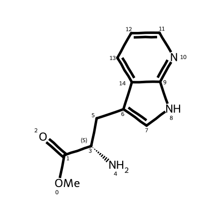 COC(=O)[C@@H](N)Cc1c[nH]c2ncccc12